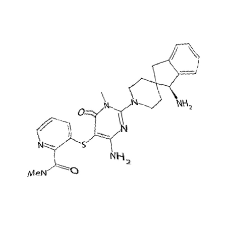 CNC(=O)c1ncccc1Sc1c(N)nc(N2CCC3(CC2)Cc2ccccc2[C@H]3N)n(C)c1=O